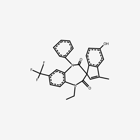 CCN1C(=O)C2(C=C(C)c3cc(O)ccc32)C(=O)N(c2ccccc2)c2cc(C(F)(F)F)ccc21